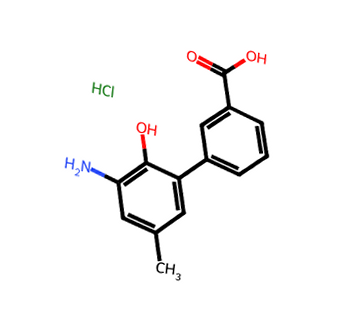 Cc1cc(N)c(O)c(-c2cccc(C(=O)O)c2)c1.Cl